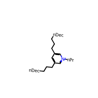 CCCCCCCCCCCCCc1cc(CCCCCCCCCCCCC)c[n+](CCC)c1